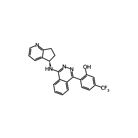 Oc1cc(C(F)(F)F)ccc1-c1nnc(N[C@@H]2CCc3ncccc32)c2ccccc12